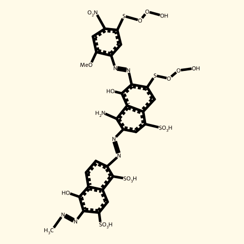 CN=Nc1c(S(=O)(=O)O)cc2c(S(=O)(=O)O)c(N=Nc3cc(S(=O)(=O)O)c4cc(SOOO)c(N=Nc5cc(SOOO)c([N+](=O)[O-])cc5OC)c(O)c4c3N)ccc2c1O